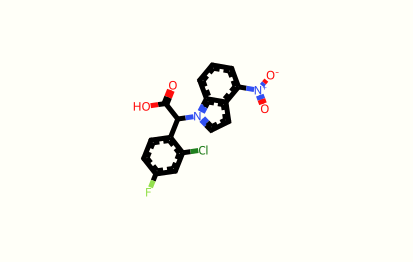 O=C(O)C(c1ccc(F)cc1Cl)n1ccc2c([N+](=O)[O-])cccc21